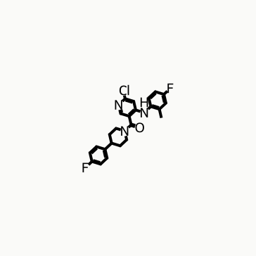 Cc1cc(F)ccc1Nc1cc(Cl)ncc1C(=O)N1CCC(c2ccc(F)cc2)CC1